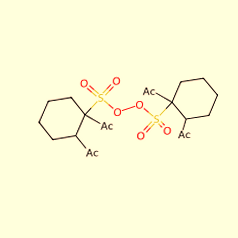 CC(=O)C1CCCCC1(C(C)=O)S(=O)(=O)OOS(=O)(=O)C1(C(C)=O)CCCCC1C(C)=O